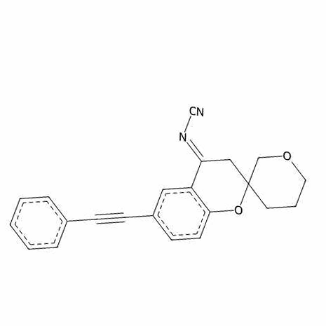 N#C/N=C1\CC2(CCCOC2)Oc2ccc(C#Cc3ccccc3)cc21